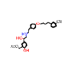 CC(=O)OCc1cc([C@@H](O)CNCCc2ccc(OCCCCc3cccc(C#N)c3)cc2)ccc1O